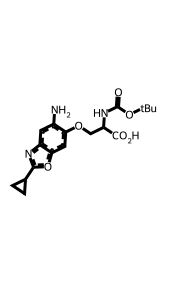 CC(C)(C)OC(=O)NC(COc1cc2oc(C3CC3)nc2cc1N)C(=O)O